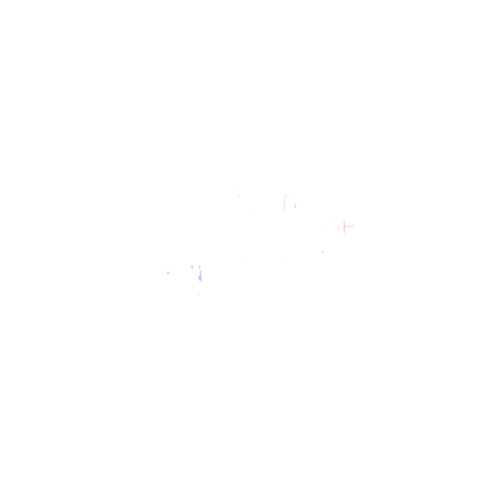 O/C=C\C(F)c1ccc2cccnc2c1